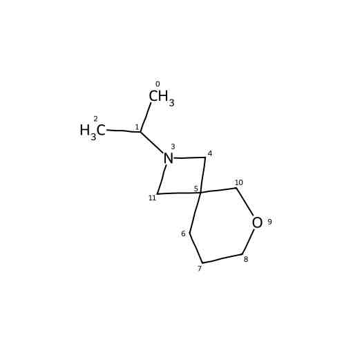 CC(C)N1CC2(CCCOC2)C1